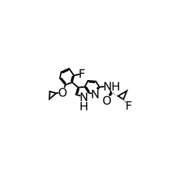 O=C(Nc1ccc2c(-c3c(F)cccc3OC3CC3)c[nH]c2n1)[C@@H]1C[C@@H]1F